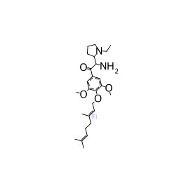 CCN1CCCC1C(N)C(=O)c1cc(OC)c(OC/C=C(\C)CCC=C(C)C)c(OC)c1